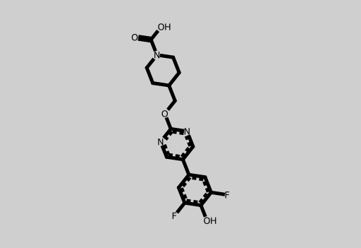 O=C(O)N1CCC(COc2ncc(-c3cc(F)c(O)c(F)c3)cn2)CC1